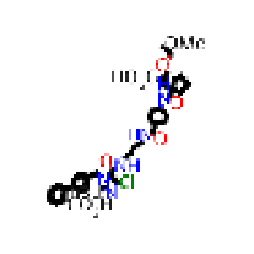 CCCCc1nc(Cl)c(C(=O)NCCCCNC(=O)C2CCC(NC(=O)C3(CC(COCCOC)C(=O)O)CCCC3)CC2)n1Cc1ccc(-c2ccccc2C(=O)O)cc1